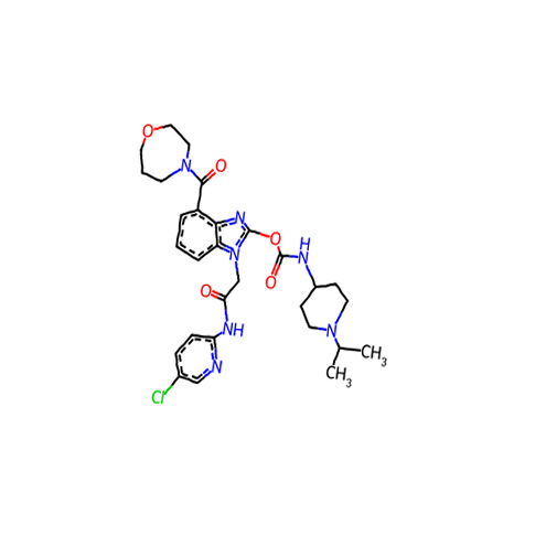 CC(C)N1CCC(NC(=O)Oc2nc3c(C(=O)N4CCCOCC4)cccc3n2CC(=O)Nc2ccc(Cl)cn2)CC1